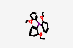 CCOc1ccccc1P(c1ccccc1OCC)c1ccccc1OCC